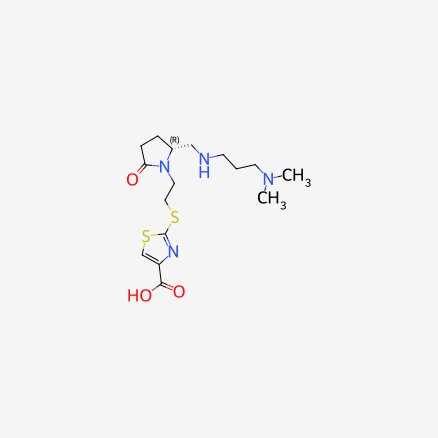 CN(C)CCCNC[C@H]1CCC(=O)N1CCSc1nc(C(=O)O)cs1